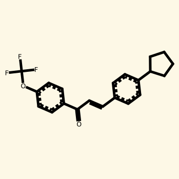 O=C(C=Cc1ccc(C2CCCC2)cc1)c1ccc(OC(F)(F)F)cc1